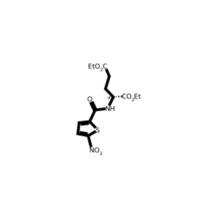 CCOC(=O)CC[C@@H](NC(=O)c1ccc([N+](=O)[O-])s1)C(=O)OCC